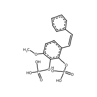 COc1ccc(/C=C\c2ccccc2)c(OP(=O)(O)O)c1OP(=O)(O)O